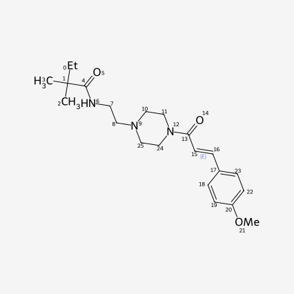 CCC(C)(C)C(=O)NCCN1CCN(C(=O)/C=C/c2ccc(OC)cc2)CC1